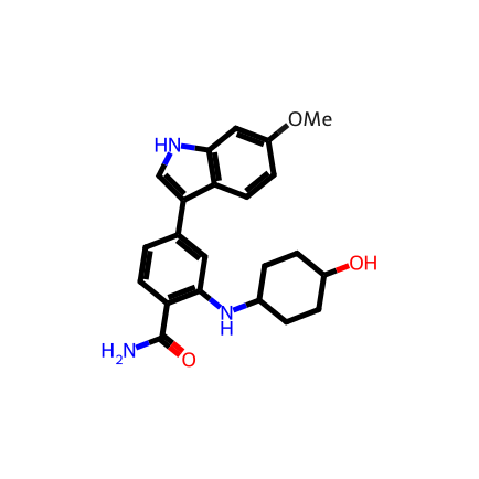 COc1ccc2c(-c3ccc(C(N)=O)c(NC4CCC(O)CC4)c3)c[nH]c2c1